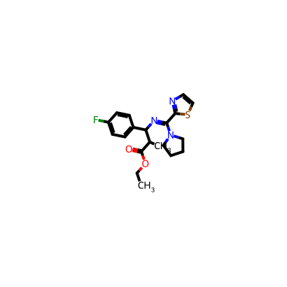 CCOC(=O)C(C)C(/N=C(/c1nccs1)N1CCCC1)c1ccc(F)cc1